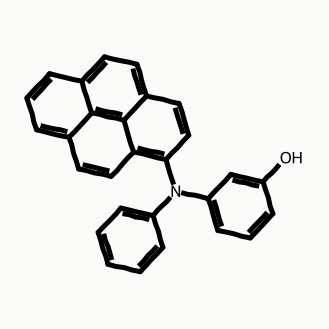 Oc1cccc(N(c2ccccc2)c2ccc3ccc4cccc5ccc2c3c45)c1